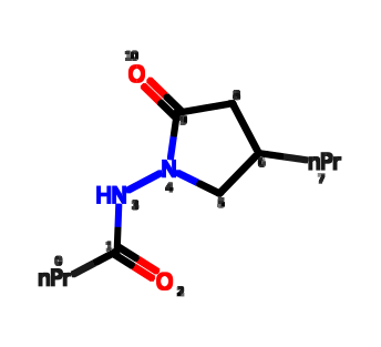 CCCC(=O)NN1CC(CCC)CC1=O